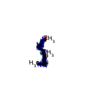 COc1cccc(CN2CCN(c3ccc(-c4nc(-c5cn(C)[n+](C6CN(C(=O)N7CCN(c8ccc(-c9nc(-c%10cnn(C)c%10)cn%10ncc(C#N)c9%10)cn8)CC7)C[C@H]6F)c5)cn5ncc(C#N)c45)cn3)CC2)n1